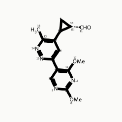 COc1ncc(-c2cc(C3C[C@@H]3C=O)c(C)nn2)c(OC)n1